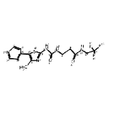 Cc1nc(NC(=O)NCCC(=O)NCC(F)(F)F)sc1-c1ccncc1